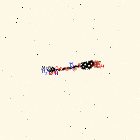 COc1ccc(NC(=O)COCCOCCNC(=O)CCOC2CCC3C4CCc5cc(OP(=O)(O)O)ccc5C4CCC23C)c(O)c1C(N)=O